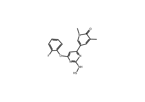 Cc1cc(-c2cc(Oc3ccccc3F)nc(NS)n2)cn(C)c1=O